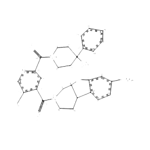 COc1ccc2c(c1)OC1CN(C(=O)c3cc(C(=O)N4CCC(C#N)(c5ccccc5)CC4)ncc3C)CCC21